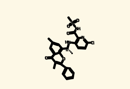 Cc1cc([C@@H](C)Nc2ccc(Cl)nc2C(=O)NS(C)(=O)=O)c2oc(-c3ccccc3)c(C)c(=O)c2c1